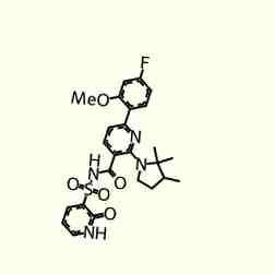 COc1cc(F)ccc1-c1ccc(C(=O)NS(=O)(=O)c2ccc[nH]c2=O)c(N2CCC(C)C2(C)C)n1